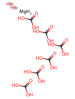 Br.Br.O=C(O)O.O=C(O)O.O=C(O)O.O=C(O)O.O=C(O)O.O=C(O)O.[MgH2]